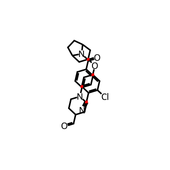 N#Cc1ccc(OC2CC3CCC(C2)N3C(=O)c2ccc(N3CCC(C=O)CC3)cc2)cc1Cl